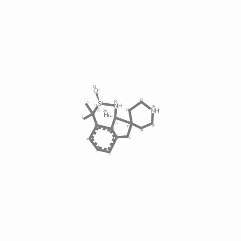 CC1(C)c2cccc3c2[C@@H](N[S@+]1[O-])C1(CCNCC1)C3